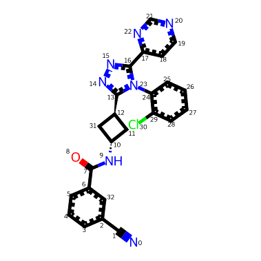 N#Cc1cccc(C(=O)N[C@H]2C[C@H](c3nnc(-c4ccncn4)n3-c3ccccc3Cl)C2)c1